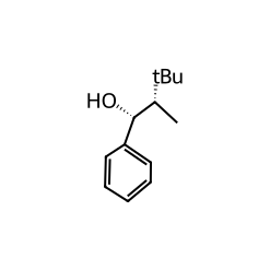 C[C@H]([C@@H](O)c1ccccc1)C(C)(C)C